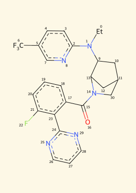 CCN(c1ccc(C(F)(F)F)cn1)C1CC2CC1N(C(=O)c1cccc(F)c1-c1ncccn1)C2